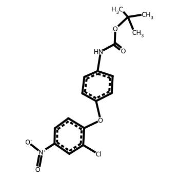 CC(C)(C)OC(=O)Nc1ccc(Oc2ccc([N+](=O)[O-])cc2Cl)cc1